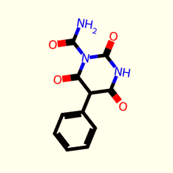 NC(=O)N1C(=O)NC(=O)C(c2ccccc2)C1=O